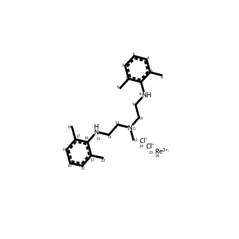 Cc1cccc(C)c1NCCN(C)CCNc1c(C)cccc1C.[Cl-].[Cl-].[Re+2]